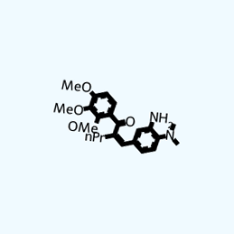 CCCC(=Cc1ccc(N(C)C)c(N)c1)C(=O)c1ccc(OC)c(OC)c1OC